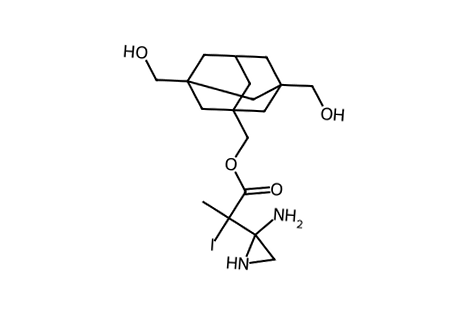 CC(I)(C(=O)OCC12CC3CC(CO)(CC(CO)(C3)C1)C2)C1(N)CN1